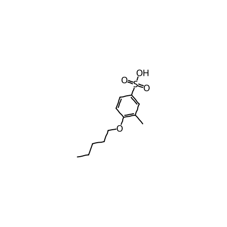 CCCCCOc1ccc(S(=O)(=O)O)cc1C